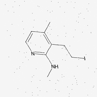 CNc1nccc(C)c1CCI